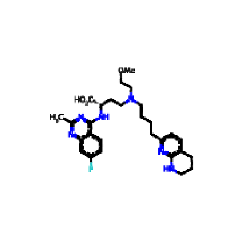 COCCN(CCCCc1ccc2c(n1)NCCC2)CC[C@H](Nc1nc(C)nc2cc(F)ccc12)C(=O)O